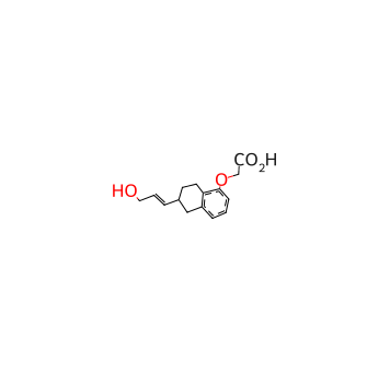 O=C(O)COc1cccc2c1CCC(C=CCO)C2